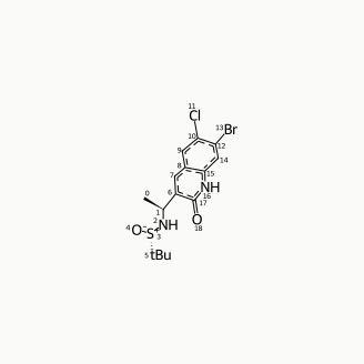 C[C@H](N[S@@+]([O-])C(C)(C)C)c1cc2cc(Cl)c(Br)cc2[nH]c1=O